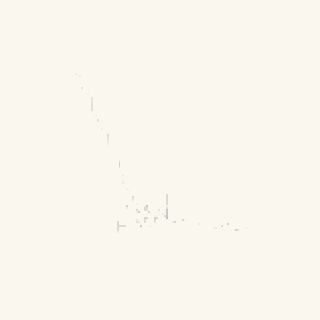 CCCCCCCCCCCCCCOP(=O)(O)ONCCCCCCCC